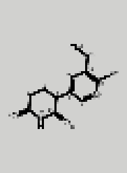 O=C1CCC(c2cnc(F)c(CCl)c2)C(=O)N1